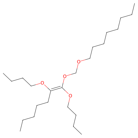 CCCCCCCCOCOC(OCCCC)=C(CCCCC)OCCCC